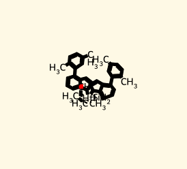 C[CH2][Hf]([CH3])([CH3])(=[SiH2])([CH2]C)([CH]1C=Cc2c(-c3cc(C)ccc3C)cccc21)[CH]1C=Cc2c(-c3cc(C)ccc3C)cccc21